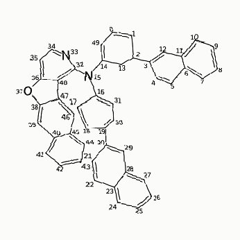 C1=CC(c2ccc3ccccc3c2)CC(N(c2ccc(-c3ccc4ccccc4c3)cc2)c2nccc3oc4cc5ccccc5cc4c23)=C1